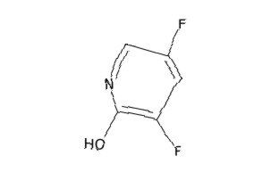 Oc1ncc(F)cc1F